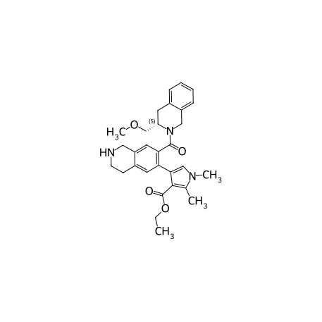 CCOC(=O)c1c(-c2cc3c(cc2C(=O)N2Cc4ccccc4C[C@H]2COC)CNCC3)cn(C)c1C